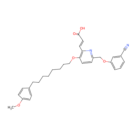 COc1ccc(CCCCCCCCOc2ccc(COc3cccc(C#N)c3)nc2C=CC(=O)O)cc1